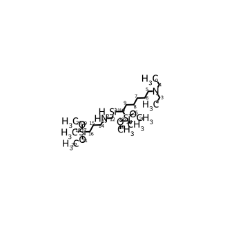 CCN(CC)CCCCCC([SiH2]CNCCC[Si](C)(OC)OC)[Si](C)(OC)OC